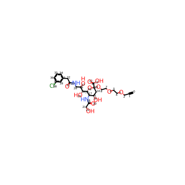 C#CCOCCOCCO[C@]1(C(=O)O)C[C@H](O)[C@@H](NC(=O)CO)[C@H]([C@H](O)[C@H](O)CNC(=O)Cc2cccc(Cl)c2)O1